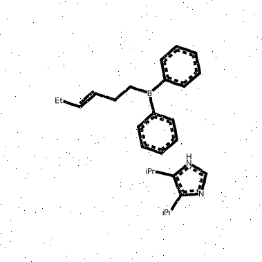 CC(C)c1nc[nH]c1C(C)C.CCC=CCCB(c1ccccc1)c1ccccc1